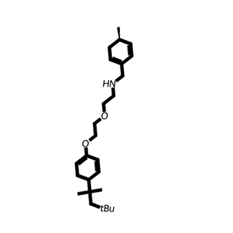 C[C@H]1C=CC(CNCCOCCOC2=CCC(C(C)(C)CC(C)(C)C)C=C2)=CC1